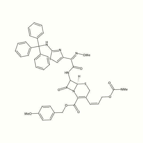 CNC(=O)OC/C=C\C1=C(C(=O)OCc2ccc(OC)cc2)N2C(=O)C(NC(=O)/C(=N\OC)c3csc(NC(c4ccccc4)(c4ccccc4)c4ccccc4)n3)[C@H]2SC1